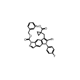 COC(=O)C1(Cc2c(C(C)C)n(-c3ccc(F)cc3)c3cc4cnn(C(=O)OCc5ccccc5)c4cc23)CC1